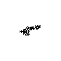 N#Cc1ccc2c(c1F)C(O)CCN2C(=O)N1CC2(C1)CN(c1ccc(F)cn1)C2